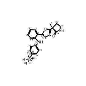 C[C@@]1(c2nnc(-c3cccnc3Nc3ccc(S(F)(F)(F)(F)F)cc3)o2)CCNC1=O